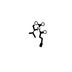 C#CCCC(=O)N1C(=O)OC[C@@H]1C(C)C